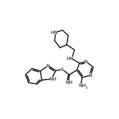 N=C(Sc1nc2ccccc2[nH]1)c1c(N)ncnc1NCC1CCNCC1